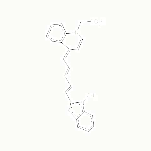 C[n+]1c(C=CC=CC=C2C=CN(CC(=O)O)c3ccccc32)sc2ccccc21